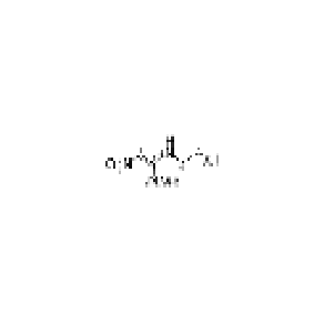 CN/C(=C\[N+](=O)[O-])NCCCl